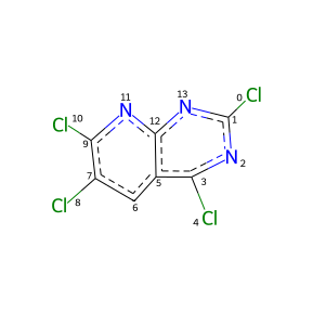 Clc1nc(Cl)c2cc(Cl)c(Cl)nc2n1